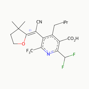 CC(C)Cc1c(C(=O)O)c(C(F)F)nc(C(F)(F)F)c1/C(C#N)=C1\OCCC1(C)C